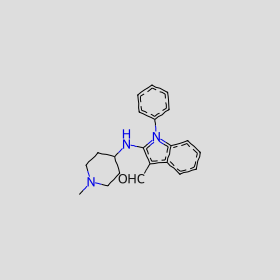 CN1CCC(Nc2c(C=O)c3ccccc3n2-c2ccccc2)CC1